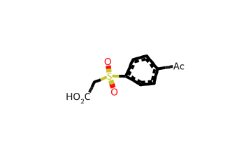 CC(=O)c1ccc(S(=O)(=O)CC(=O)O)cc1